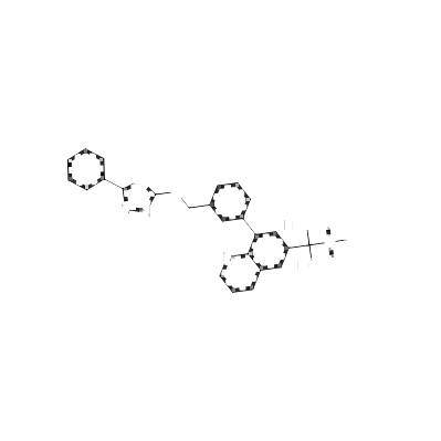 CC(C)(c1cc(-c2cccc(CSc3nnc(-c4ccccc4)o3)c2)c2ncccc2c1)S(C)(=O)=O